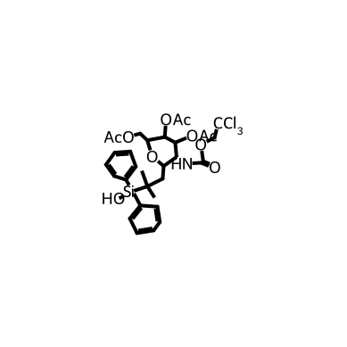 CC(=O)OCC1OC(CC(C)(C)[Si](O)(c2ccccc2)c2ccccc2)C(NC(=O)OCC(Cl)(Cl)Cl)C(OC(C)=O)C1OC(C)=O